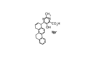 Cc1nc(C(=O)O)c(O)c(C2C=CCc3c2ccc2c3CCc3ccccc3-2)n1.[Cl-].[Na+]